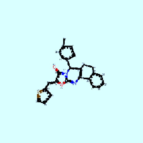 Cc1ccc(C2C3=C(N=c4o/c(=C\c5cccs5)c(=O)n42)c2ccccc2CC3)cc1